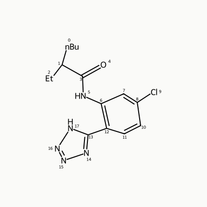 CCCCC(CC)C(=O)Nc1cc(Cl)ccc1-c1nnn[nH]1